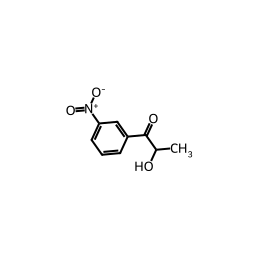 CC(O)C(=O)c1cccc([N+](=O)[O-])c1